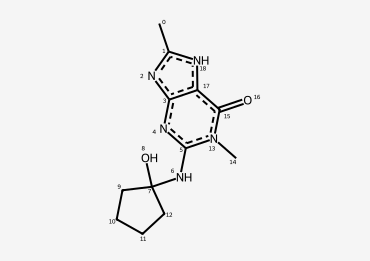 Cc1nc2nc(NC3(O)CCCC3)n(C)c(=O)c2[nH]1